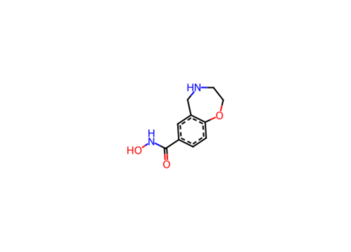 O=C(NO)c1ccc2c(c1)CNCCO2